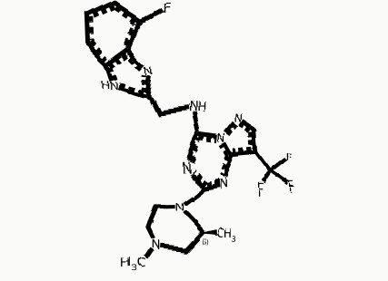 C[C@H]1CN(C)CCN1c1nc(NCc2nc3c(F)cccc3[nH]2)n2ncc(C(F)(F)F)c2n1